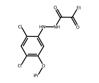 CCC(=O)C(=O)NNc1cc(OC(C)C)c(Cl)cc1Cl